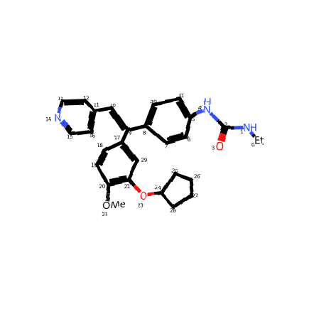 CCNC(=O)Nc1ccc(C(=Cc2ccncc2)c2ccc(OC)c(OC3CCCC3)c2)cc1